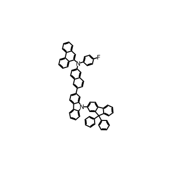 Fc1ccc(N(c2ccc3cc(-c4ccc5c6ccccc6n(-c6ccc7c(c6)C(c6ccccc6)(c6ccccc6)c6ccccc6-7)c5c4)ccc3c2)c2cc3ccccc3c3ccccc23)cc1